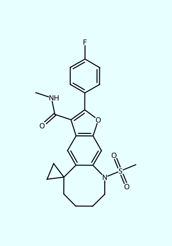 CNC(=O)c1c(-c2ccc(F)cc2)oc2cc3c(cc12)C1(CCCCN3S(C)(=O)=O)CC1